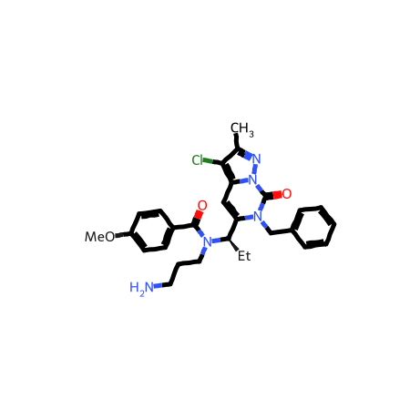 CC[C@H](c1cc2c(Cl)c(C)nn2c(=O)n1Cc1ccccc1)N(CCCN)C(=O)c1ccc(OC)cc1